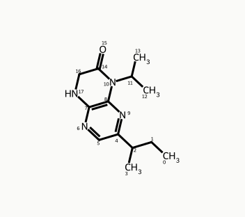 CCC(C)c1cnc2c(n1)N(C(C)C)C(=O)CN2